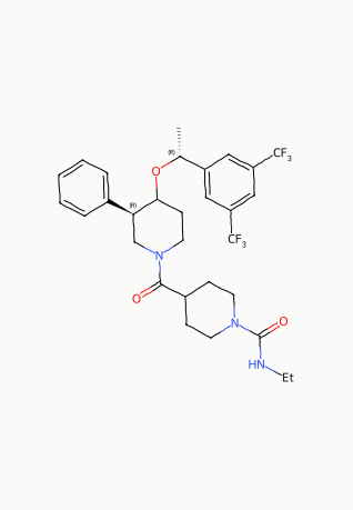 CCNC(=O)N1CCC(C(=O)N2CCC(O[C@H](C)c3cc(C(F)(F)F)cc(C(F)(F)F)c3)[C@H](c3ccccc3)C2)CC1